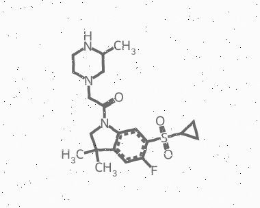 CC1CN(CC(=O)N2CC(C)(C)c3cc(F)c(S(=O)(=O)C4CC4)cc32)CCN1